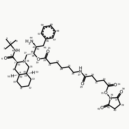 CC(C)(C)NC(=O)[C@@H]1C[C@@H]2CCCC[C@@H]2CN1C[C@@H](OC(=O)CCCCCNC(=O)CCCC(=O)ON1C(=O)CCC1=O)[C@@H](N)Cc1ccccc1